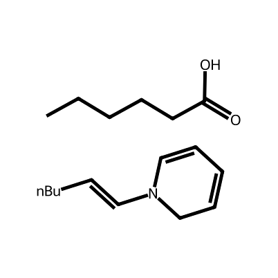 CCCCC=CN1C=CC=CC1.CCCCCC(=O)O